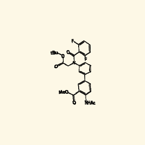 COC(=O)c1cc(-c2cccc(N(CC(=O)OC(C)(C)C)C(=O)c3c(F)cccc3F)c2)ccc1NC(C)=O